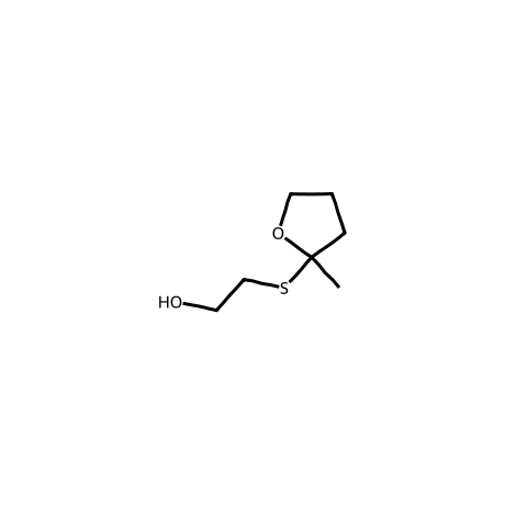 CC1(SCCO)CCCO1